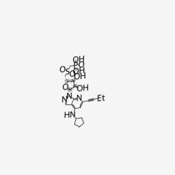 CCC#Cc1cc(NC2CCCC2)c2cnn([C@@H]3O[C@H](CS(=O)(=O)CP(=O)(O)O)[C@@H](O)[C@H]3O)c2n1